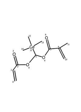 C=CC(=O)O[CH](OC(=O)C(=C)C)[Ge]([CH3])([CH3])[CH3]